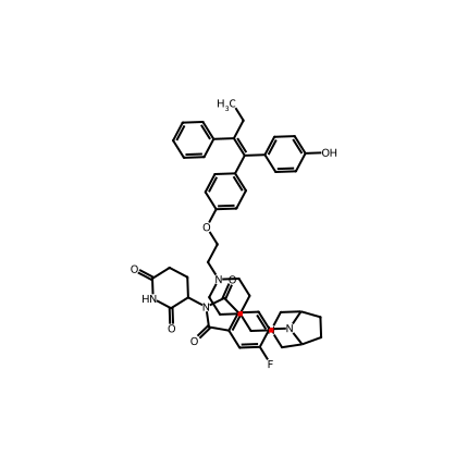 CCC(=C(c1ccc(O)cc1)c1ccc(OCCN2CCC(CN3CC4CCC(C3)N4c3cc4c(cc3F)C(=O)N(C3CCC(=O)NC3=O)C4=O)CC2)cc1)c1ccccc1